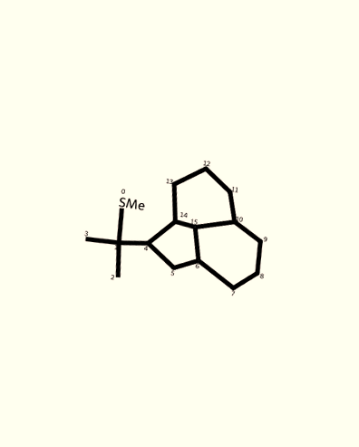 CSC(C)(C)C1CC2CCCC3CCCC1C32